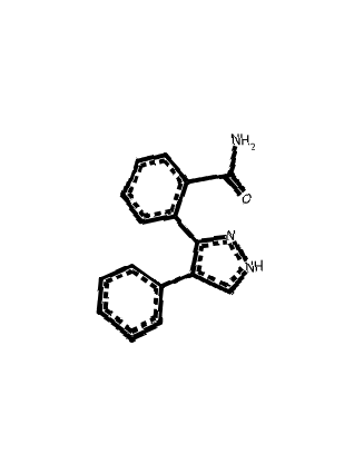 NC(=O)c1ccccc1-c1n[nH]cc1-c1ccccc1